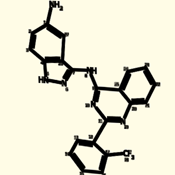 Nc1ccc2[nH]nc(Nc3nc(-c4ccccc4C(F)(F)F)nc4ccccc34)c2c1